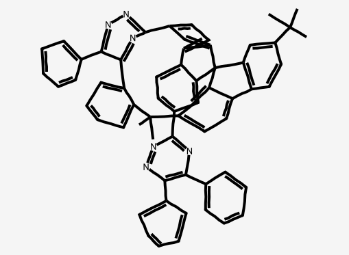 CC(C)(C)c1ccc2c(c1)C13c4cc(-c5nnc(-c6ccccc6)c(-c6ccccc6)n5)ccc4-c4ccc(cc41)-c1nnc(-c4ccccc4)c(n1)-c1ccccc1C(C)(C)c1ccc-2c3c1